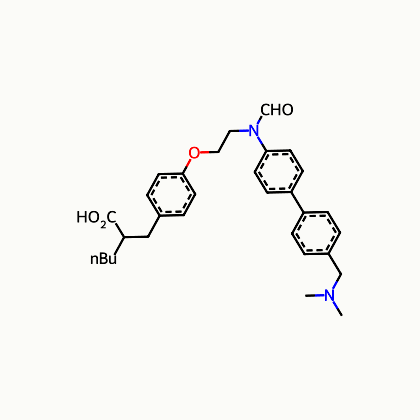 CCCCC(Cc1ccc(OCCN(C=O)c2ccc(-c3ccc(CN(C)C)cc3)cc2)cc1)C(=O)O